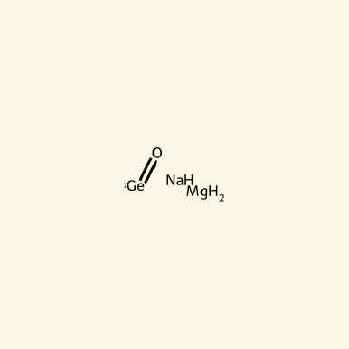 [MgH2].[NaH].[O]=[Ge]